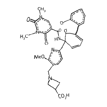 COc1nc(C2(NC(=O)c3cn(C)c(=O)n(C)c3=O)C=CC=C(c3ccccc3Cl)C2Cl)ccc1CN1CC(C(=O)O)C1